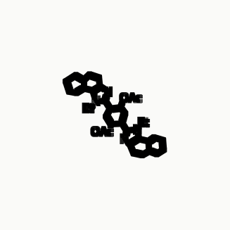 CCn1c(-c2cc(OC(C)=O)c(-c3nc4ccc5ccccc5c4n3CC)cc2OC(C)=O)nc2ccc3ccccc3c21